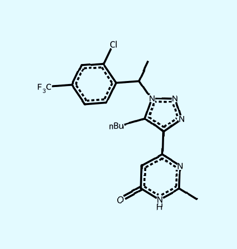 CCCCc1c(-c2cc(=O)[nH]c(C)n2)nnn1C(C)c1ccc(C(F)(F)F)cc1Cl